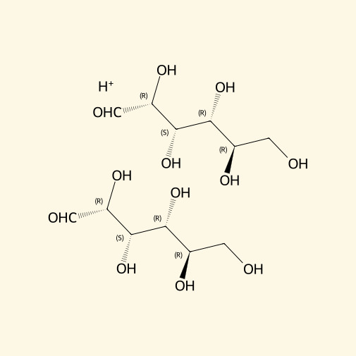 O=C[C@H](O)[C@@H](O)[C@H](O)[C@H](O)CO.O=C[C@H](O)[C@@H](O)[C@H](O)[C@H](O)CO.[H+]